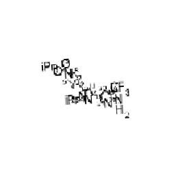 CC(C)OC(=O)N1CC2C(C1)C2c1cc(-c2cnc(N)c(C(F)(F)F)c2)nn1C(C)C